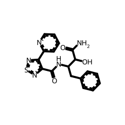 NC(=O)C(O)C(Cc1ccccc1)NC(=O)c1nsnc1-c1ccccn1